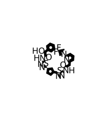 O=C(Cc1cccc(N2CC(F)(F)C2)n1)Nc1nnc(C2CC[C@H](c3nnc(NC(=O)[C@@H](O)c4ccccc4)s3)C2)s1